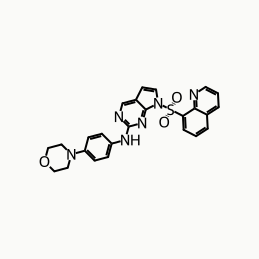 O=S(=O)(c1cccc2cccnc12)n1ccc2cnc(Nc3ccc(N4CCOCC4)cc3)nc21